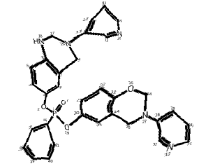 O=P(Oc1ccc2c(c1)CN(c1cccnc1)CN2)(Oc1ccc2c(c1)CN(c1cccnc1)CO2)c1ccccc1